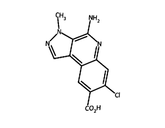 Cn1ncc2c3cc(C(=O)O)c(Cl)cc3nc(N)c21